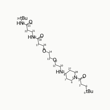 CC(C)(C)CCC(=O)N1CCC(NCCOCCOCCC(=O)NCCC(=O)NC(C)(C)C)CC1